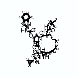 CC(C)(C)OC(=O)N[C@H]1CCCCC/C=C\[C@@H]2C[C@@]2(C(=O)NS(=O)(=O)C2CC2)NC(=O)[C@@H]2C[C@@H](OC(=O)Nc3nc4ccccc4s3)CN2C1=O